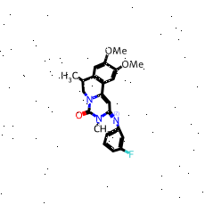 COc1cc2c(cc1OC)C(C)Cn1c-2c/c(=N/c2cccc(F)c2)n(C)c1=O